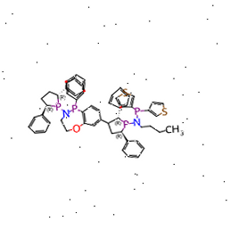 CCCCN(P(c1ccsc1)c1ccsc1)P1[C@@H](c2ccccc2)CC(c2ccc3c(c2)OCCN(P2[C@@H](c4ccccc4)CC[C@@H]2c2ccccc2)P3c2ccccc2)[C@@H]1c1ccccc1